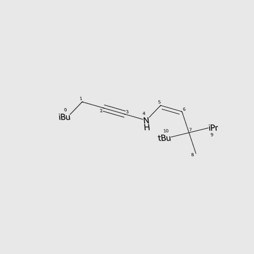 CCC(C)CC#CN/C=C\C(C)(C(C)C)C(C)(C)C